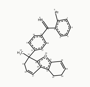 CC(C)c1ccccc1C(=N)c1ccc(C2(C)CC=Cc3c2oc2c3CCC=C2)cc1